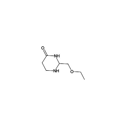 CCOCC1NCCC(=O)N1